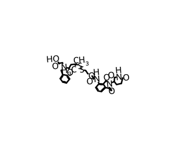 CC(C)(CC(=O)N(CC(=O)O)Cc1ccccc1)SSCCOC(=O)Nc1cccc2c1C(=O)N(C1CCC(=O)NC1=O)C2=O